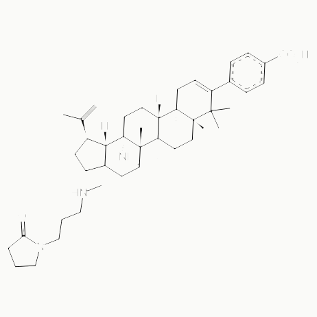 C=C(C)[C@@H]1CC[C@]2(CNCCCN3CCCC3=O)CC[C@@]3(C)[C@]4(C)CC[C@H]5C(C)(C)C(c6ccc(C(=O)O)cc6)=CC[C@]5(C)[C@H]4CC[C@]3(N)[C@@H]12